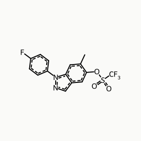 Cc1cc2c(cnn2-c2ccc(F)cc2)cc1OS(=O)(=O)C(F)(F)F